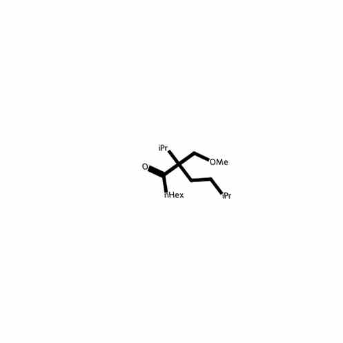 CCCCCCC(=O)C(CCC(C)C)(COC)C(C)C